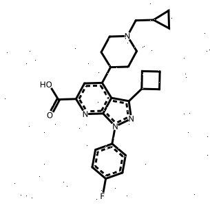 O=C(O)c1cc(C2CCN(CC3CC3)CC2)c2c(C3CCC3)nn(-c3ccc(F)cc3)c2n1